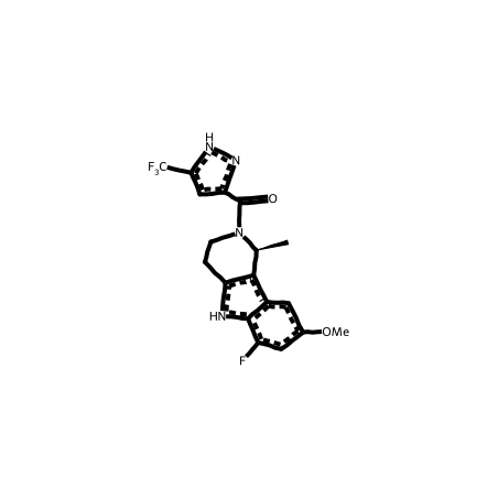 COc1cc(F)c2[nH]c3c(c2c1)[C@H](C)N(C(=O)c1cc(C(F)(F)F)[nH]n1)CC3